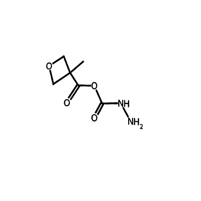 CC1(C(=O)OC(=O)NN)COC1